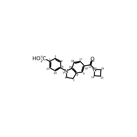 O=C(O)c1ccc(N2CCc3cc(C(=O)N4CCC4)ccc32)cc1